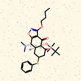 CCCCOc1noc2c1C(=O)[C@@]1(O[Si](C)(C)C(C)(C)C)C(=O)CC(Sc3ccccc3)C[C@H]1[C@@H]2N(C)C